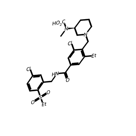 CCc1cc(C(=O)NCc2cc(Cl)ccc2S(=O)(=O)CC)cc(Cl)c1CN1CCC[C@H](N(C)C(=O)O)C1